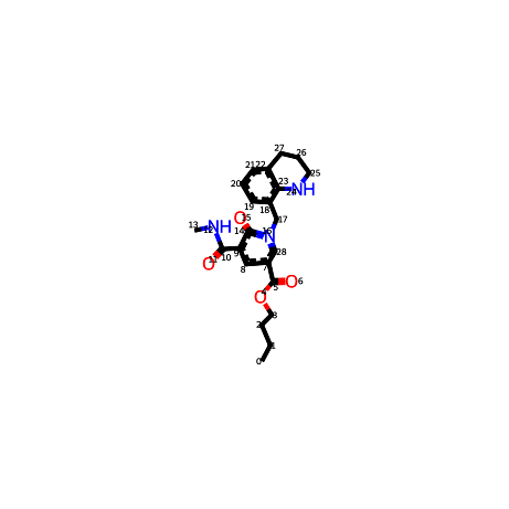 CCCCOC(=O)c1cc(C(=O)NC)c(=O)n(Cc2cccc3c2NCCC3)c1